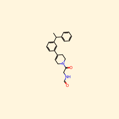 CC(c1ccccc1)c1cccc(C2=CCN(C(=O)CNC=O)CC2)c1